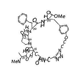 CN[C@@H](C)C(=O)N[C@H]1CC(=O)NCc2cn(nn2)CCOc2ccc(cc2)C[C@@H](C(=O)OC)NC(=O)[C@H](Cc2ccccc2)NC(=O)[C@@H]2CCCN2C1=O